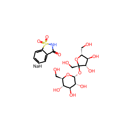 O=C1NS(=O)(=O)c2ccccc21.OC[C@H]1O[C@@](CO)(O[C@H]2O[C@H](CO)[C@@H](O)[C@H](O)[C@H]2O)[C@@H](O)[C@@H]1O.[NaH]